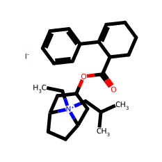 CC[N+]1(CC(C)C)C2CCC1CC(OC(=O)C1CCCC=C1c1ccccc1)C2.[I-]